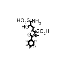 NC(C(=O)O)C(O)CCC(NC(=O)c1ccccc1)C(=O)O